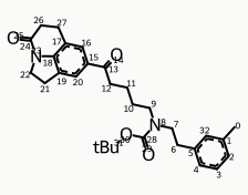 Cc1cccc(CCN(CCCCC(=O)c2cc3c4c(c2)CCN4C(=O)CC3)C(=O)OC(C)(C)C)c1